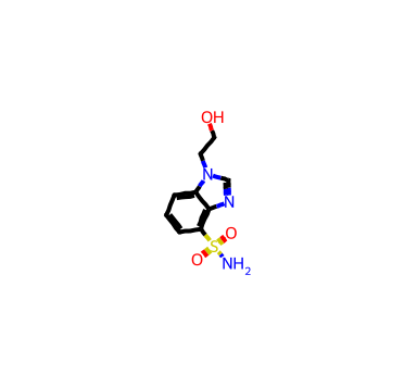 NS(=O)(=O)c1cccc2c1ncn2CCO